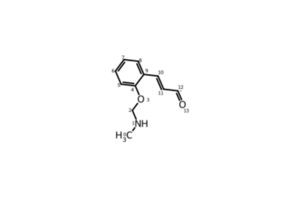 CNCOc1ccccc1/C=C/[C]=O